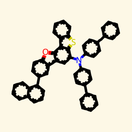 c1ccc(-c2ccc(N(c3ccc(-c4ccccc4)cc3)c3cc4c5cc(-c6cccc7ccccc67)ccc5oc4c4c3sc3ccccc34)cc2)cc1